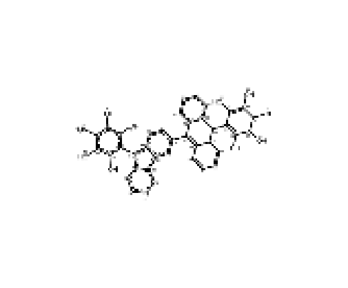 Bc1c(O)c(O)c(-n2c3ccncc3c3cc(C4=C5C=CC=CC5C(C5=C(O)C(O)C(O)C(O)=C5O)c5ccccc54)ccc32)c(O)c1O